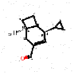 O=CC1=C[C@H](C2CC2)C2CC[C@@H]2C1